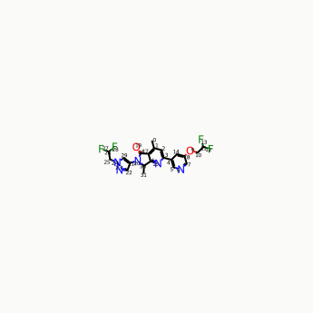 Cc1cc(-c2cncc(OCC(F)F)c2)nc2c1C(=O)N(c1cnn(CC(F)F)c1)C2C